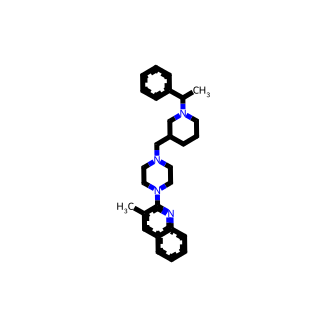 Cc1cc2ccccc2nc1N1CCN(CC2CCCN(C(C)c3ccccc3)C2)CC1